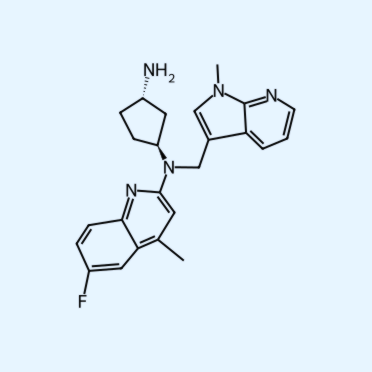 Cc1cc(N(Cc2cn(C)c3ncccc23)[C@H]2CC[C@H](N)C2)nc2ccc(F)cc12